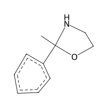 CC1(c2ccccc2)NCCO1